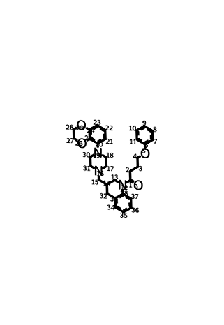 O=C(CCCOc1ccccc1)N1CC(CN2CCN(c3cccc4c3OCCO4)CC2)Cc2ccccc21